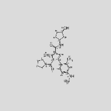 C[C@H]1CCCN1C(=O)c1nc(C(=O)N[C@H]2CC[C@@H](O)C2)sc1-c1cnc(NC(C)(C)C)cc1C(F)(F)F